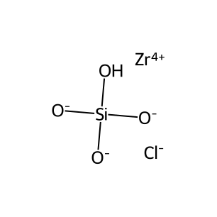 [Cl-].[O-][Si]([O-])([O-])O.[Zr+4]